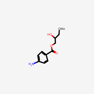 COCC(O)COC(=O)c1ccc(N)cc1